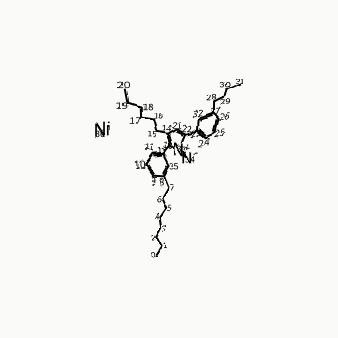 CCCCCCCCc1cccc(C2=C(CCCCCC)C=C(c3cccc(CCCC)c3)[N+]2=[N-])c1.[Ni]